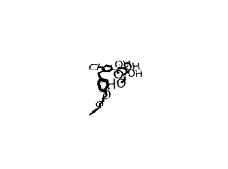 CC#CCOCCOc1ccc(Cc2cc([C@@H]3O[C@H](CO)[C@@H](O)[C@H](O)[C@H]3O)ccc2Cl)cc1